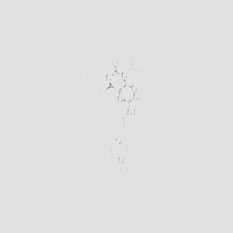 CN1CCN(CCCNc2nnc3c(n2)c(=O)n(C)c(=O)n3C2CCCC2)CC1